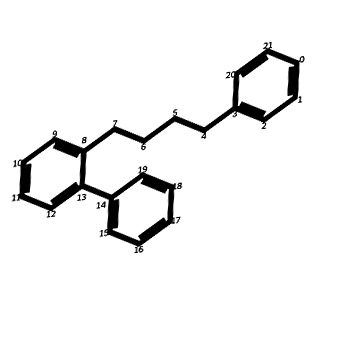 c1ccc(CCCCc2ccccc2-c2ccccc2)cc1